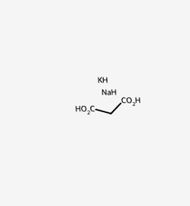 O=C(O)CC(=O)O.[KH].[NaH]